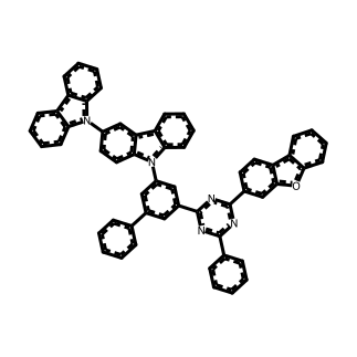 c1ccc(-c2cc(-c3nc(-c4ccccc4)nc(-c4ccc5c(c4)oc4ccccc45)n3)cc(-n3c4ccccc4c4cc(-n5c6ccccc6c6ccccc65)ccc43)c2)cc1